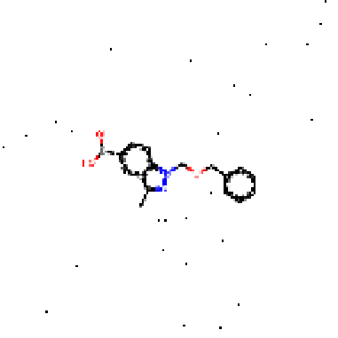 Cc1nn(COCc2ccccc2)c2ccc(B(O)O)cc12